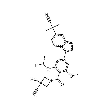 C#CC1(O)CN(C(=O)c2c(OC)cc(-c3cnc4cc(C(C)(C)C#N)ccn34)cc2OC(F)F)C1